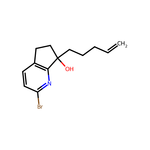 C=CCCCC1(O)CCc2ccc(Br)nc21